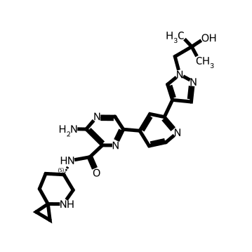 CC(C)(O)Cn1cc(-c2cc(-c3cnc(N)c(C(=O)N[C@H]4CCC5(CC5)NC4)n3)ccn2)cn1